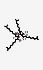 CC(C)CCCCCCC(S)C(CO)(OC(C(S)CCCCCCC(C)C)(C(S)CCCCCCC(C)C)C(O)(S)S)C(S)CCCCCCC(C)C